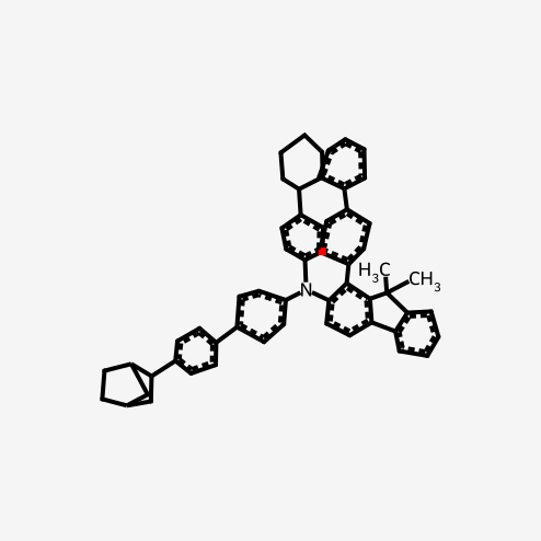 CC1(C)c2ccccc2-c2ccc(N(c3ccc(-c4ccc(C5CC6CCC5C6)cc4)cc3)c3ccc(C4CCCCC4)cc3)c(-c3ccc(-c4ccccc4)cc3)c21